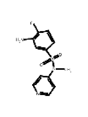 CN(c1ccncc1)S(=O)(=O)c1ccc(Cl)c(N)c1